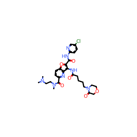 CN(C)CCN(C)C(=O)c1ccc2oc(C(=O)Nc3ccc(Cl)cn3)c(NC(=O)CCCCN3CCOCC3=O)c2n1